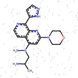 CC(N)CN(N)c1cc(N2CCOCC2)nc2c(-c3ccn[nH]3)nccc12